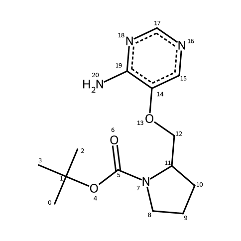 CC(C)(C)OC(=O)N1CCCC1COc1cncnc1N